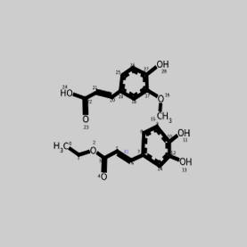 CCOC(=O)/C=C/c1ccc(O)c(O)c1.COc1cc(C=CC(=O)O)ccc1O